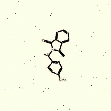 C=C1c2ccccc2C(=O)N1[C@H](C)c1ccc(OC)cc1